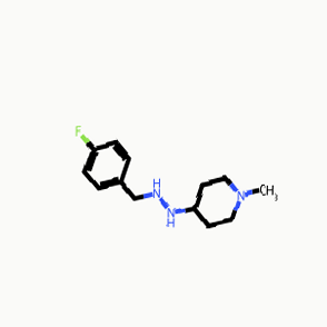 CN1CCC(NNCc2ccc(F)cc2)CC1